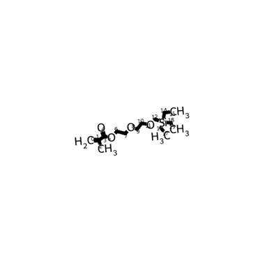 C=C(C)C(=O)OCCOCCOC[Si](CC)(CC)CC